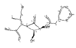 COC(=O)C(=C(C)CBr)N1C(=O)[C@@H](NC(=O)Cc2ccccc2)[C@H]1O